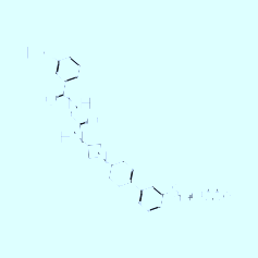 COOSc1cccc(C2=CCC(N3CC(NC(=O)CNC(=O)c4cccc(C(F)(F)F)c4)C3)CC2)c1